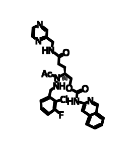 CC(=O)N(NCc1cccc(F)c1Cl)[C@@H](CCC(=O)NCc1cnccn1)COC(=O)Nc1cc2ccccc2cn1